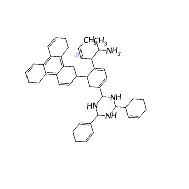 C/C=C\C(C1=CC=C(C2NC(C3=CCCC=C3)NC(C3C=CCCC3)N2)CC1C1C=Cc2c3c(c4c(c2C1)CCC=C4)C=CCC3)C(C)N